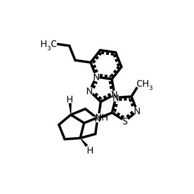 CCCc1cccc2nc(NC3[C@@H]4CC[C@H]3CN(c3nc(C)ns3)C4)nn12